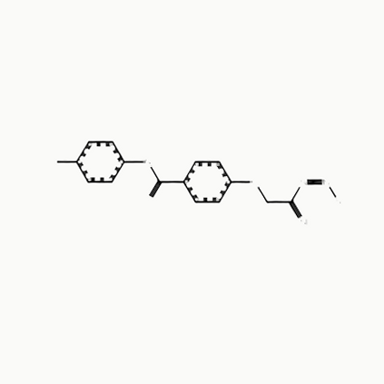 N=C(COc1ccc(C(=O)Nc2ccc(C(=O)O)cc2)cc1)/N=N\N